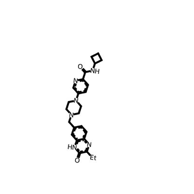 CCc1nc2ccc(CN3CCN(c4ccc(C(=O)NC5CCC5)nc4)CC3)cc2[nH]c1=O